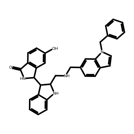 O=C1NC(C2c3ccccc3NC2CNCc2ccc3ccn(Cc4ccccc4)c3c2)c2cc(O)ccc21